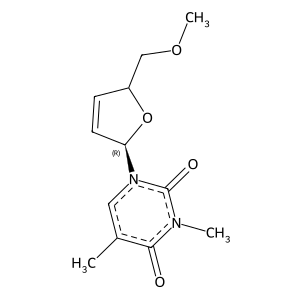 COCC1C=C[C@H](n2cc(C)c(=O)n(C)c2=O)O1